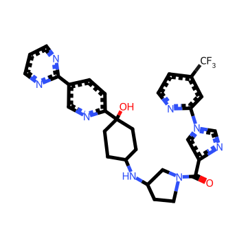 O=C(c1cn(-c2cc(C(F)(F)F)ccn2)cn1)N1CCC(NC2CCC(O)(c3ccc(-c4ncccn4)cn3)CC2)C1